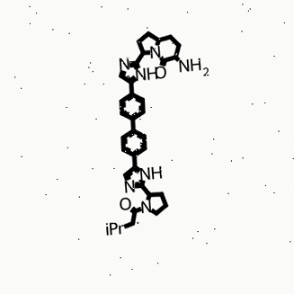 CC(C)[CH]C(=O)N1CCCC1c1ncc(-c2ccc(-c3ccc(-c4cnc(C5CCC6CCC(N)C(=O)N65)[nH]4)cc3)cc2)[nH]1